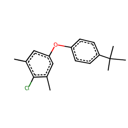 Cc1cc(Oc2ccc(C(C)(C)C)cc2)cc(C)c1Cl